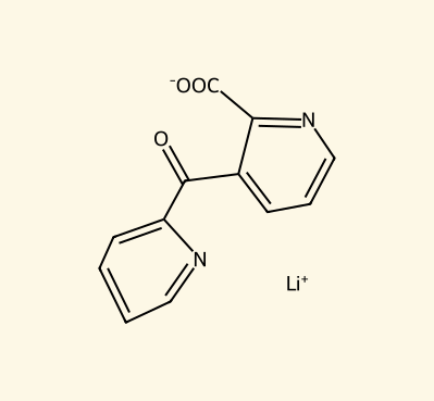 O=C(c1ccccn1)c1cccnc1C(=O)[O-].[Li+]